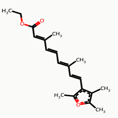 CCOC(=O)/C=C(C)/C=C/C=C(C)/C=C/c1c(C)oc(C)c1C